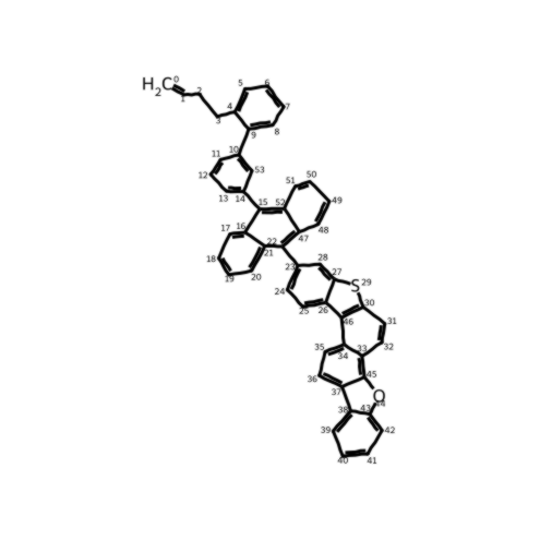 C=CCCc1ccccc1-c1cccc(-c2c3ccccc3c(-c3ccc4c(c3)sc3ccc5c(ccc6c7ccccc7oc65)c34)c3ccccc23)c1